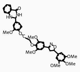 COc1cc(C2NC(=O)c3ccccc3N2)ccc1OCCCOc1c(OC)cc(C2=NOC(c3cc(OC)c(OC)c(OC)c3)C2)cc1OC